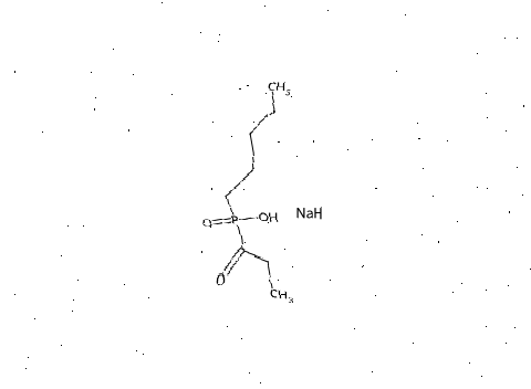 CCCCCP(=O)(O)C(=O)CC.[NaH]